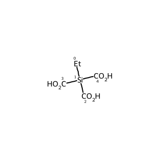 [CH2]C[Si](C(=O)O)(C(=O)O)C(=O)O